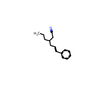 CCCC(CC#N)C/C=C/c1ccccc1